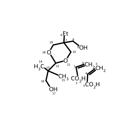 C=CC(=O)O.C=CC(=O)O.CCC1(CO)COC(C(C)(C)CO)OC1